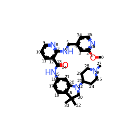 COc1cc(CNc2ncccc2C(=O)Nc2ccc3c(c2)N(C2CCN(C)CC2)CC3(C)C)ccn1